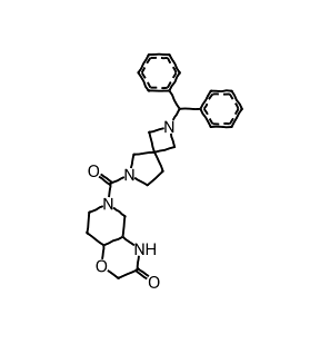 O=C1COC2CCN(C(=O)N3CCC4(C3)CN(C(c3ccccc3)c3ccccc3)C4)CC2N1